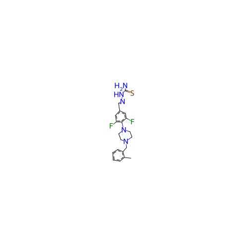 Cc1ccccc1CN1CCN(c2c(F)cc(C=NNC(N)=S)cc2F)CC1